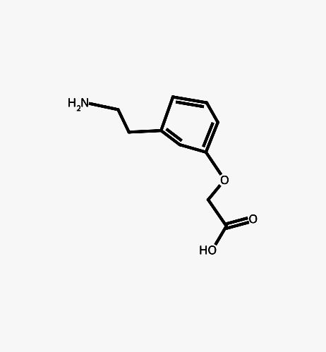 NCCc1cccc(OCC(=O)O)c1